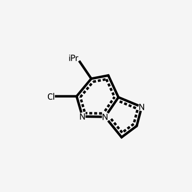 CC(C)c1cc2nccn2nc1Cl